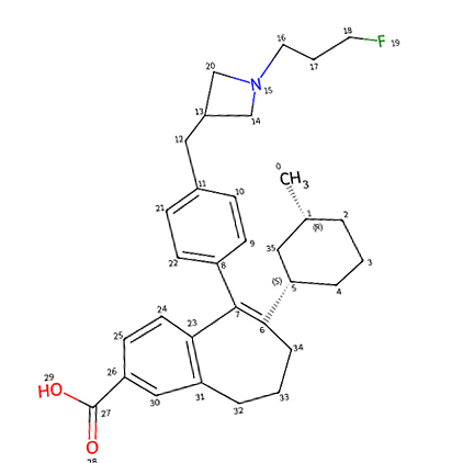 C[C@@H]1CCC[C@H](C2=C(c3ccc(CC4CN(CCCF)C4)cc3)c3ccc(C(=O)O)cc3CCC2)C1